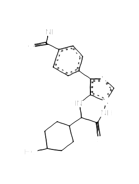 NC(=O)c1ccc(-c2ncn3c2NC(C2CCC(O)CC2)C(=O)N3)cc1